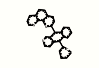 c1ccc(-c2c3ccccc3c(-c3ccc4ccc5cccnc5c4n3)c3cnccc23)cc1